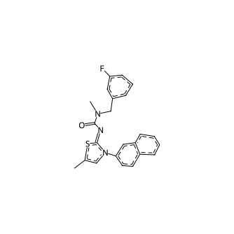 Cc1cn(-c2ccc3ccccc3c2)c(=NC(=O)N(C)Cc2cccc(F)c2)s1